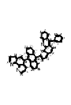 c1ccc(-c2c3ccccc3nc3c2ccc2ccc(-c4c5ccccc5c(-c5cc6cccnc6c6ncccc56)c5ccccc45)nc23)cc1